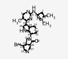 Cc1cnc(Nc2cc(C)n(C)n2)nc1-c1c[nH]c2c(N3Cc4c(Br)cncc4C3=O)cccc12